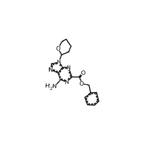 Nc1nc(C(=O)OCc2ccccc2)nc2c1ncn2C1CCCCO1